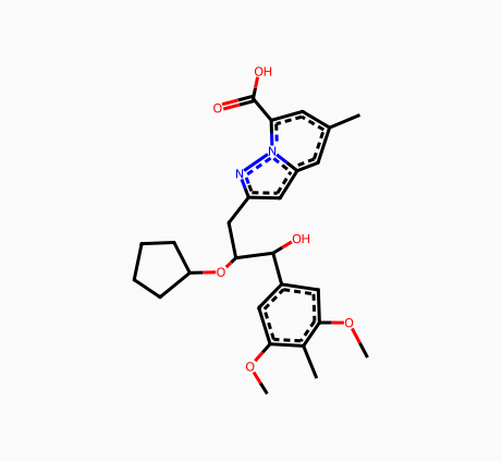 COc1cc(C(O)C(Cc2cc3cc(C)cc(C(=O)O)n3n2)OC2CCCC2)cc(OC)c1C